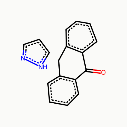 O=C1c2ccccc2Cc2ccccc21.c1cn[nH]c1